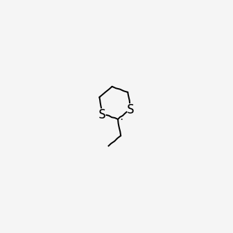 CC[C]1SCCCS1